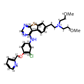 COCCN(CCOC)CCc1ccc2c(c1)sc1ncnc(Nc3ccc(OCc4ccccn4)c(Cl)c3)c12